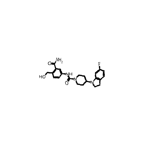 NC(=O)c1cc(NC(=O)N2CCC(N3CCc4ccc(F)cc43)CC2)ccc1CO